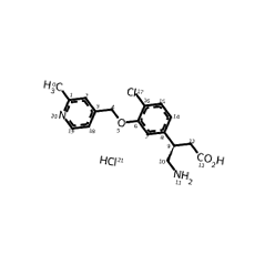 Cc1cc(COc2cc([C@H](CN)CC(=O)O)ccc2Cl)ccn1.Cl